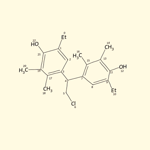 CCc1cc(C(CCl)c2cc(CC)c(O)c(C)c2C)c(C)c(C)c1O